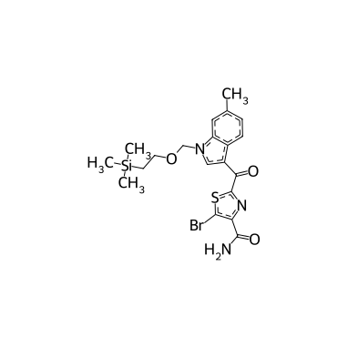 Cc1ccc2c(C(=O)c3nc(C(N)=O)c(Br)s3)cn(COCC[Si](C)(C)C)c2c1